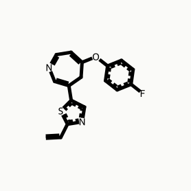 C=Cc1ncc(C2=CN=CC=C(Oc3ccc(F)cc3)C2)s1